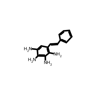 Nc1cc(C=Cc2ccccc2)c(N)c(N)c1N